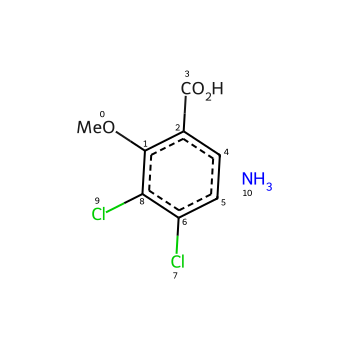 COc1c(C(=O)O)ccc(Cl)c1Cl.N